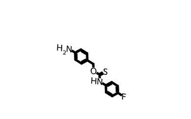 Nc1ccc(COC(=S)Nc2ccc(F)cc2)cc1